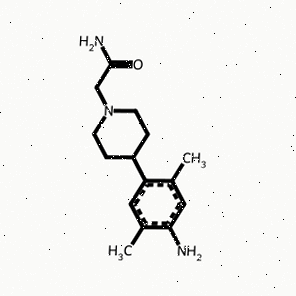 Cc1cc(C2CCN(CC(N)=O)CC2)c(C)cc1N